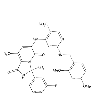 COc1ccc(CNc2cc(Nc3cc(C)c4n(c3=O)C(C)(c3cccc(F)c3)NC4=O)c(C(=O)O)cn2)c(OC)c1